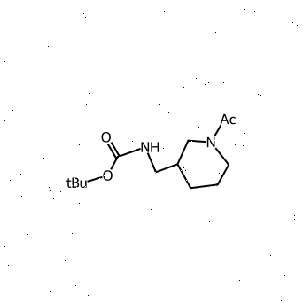 CC(=O)N1CCCC(CNC(=O)OC(C)(C)C)C1